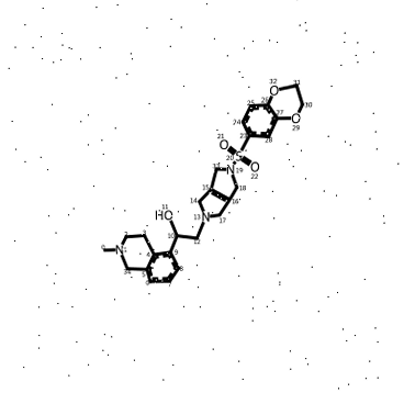 CN1CCc2c(cccc2C(O)CN2CC3=C(C2)CN(S(=O)(=O)c2ccc4c(c2)OCCO4)C3)C1